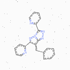 C(/c1ccccc1)=c1\c(-c2ccccn2)nn2c(-c3ccccn3)nnc12